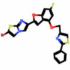 Fc1cc(OCc2csc(-c3ccccc3)n2)c2cc(-c3cn4cc(Br)sc4n3)oc2c1